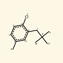 Cc1ccc(Cl)c(CC(C)(C)C)c1